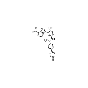 C[C@H](Nc1ncc(C#N)c(-c2cnc3c(C(F)F)cccn23)n1)c1ccc(N2CCNCC2)cc1